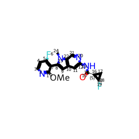 COc1nccc(F)c1-c1cc2cc(NC(=O)[C@@H]3C[C@@H]3F)ncc2n1C